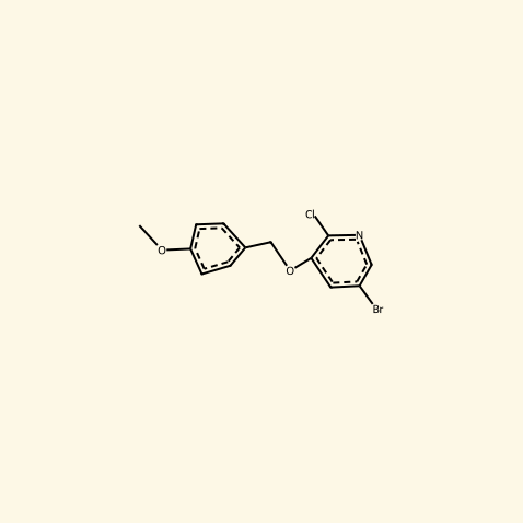 COc1ccc(COc2cc(Br)cnc2Cl)cc1